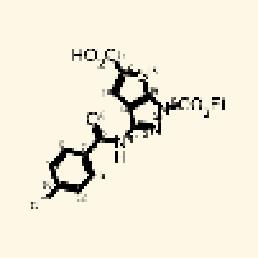 CCOC(=O)n1nc(NC(=O)c2ccc(F)cc2)c2cc(C(=O)O)sc21